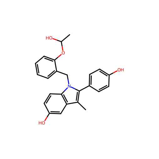 Cc1c(-c2ccc(O)cc2)n(Cc2ccccc2OC(C)O)c2ccc(O)cc12